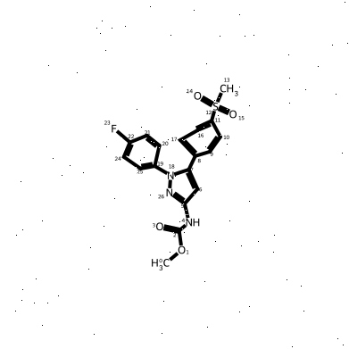 COC(=O)Nc1cc(-c2ccc(S(C)(=O)=O)cc2)n(-c2ccc(F)cc2)n1